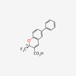 O=C(O)C1=Cc2cc(-c3ccccc3)ccc2O[C@@H]1C(F)(F)F